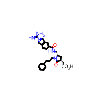 N=C(N)N1Cc2ccc(C(=O)NC[C@@H]3C[C@@H](CC(=O)O)C(=O)N3CCCc3ccccc3)cc2C1